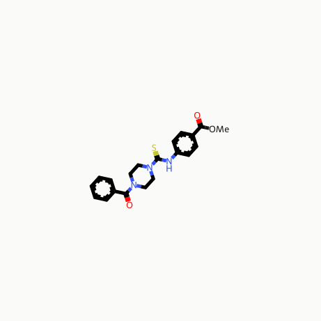 COC(=O)c1ccc(NC(=S)N2CCN(C(=O)c3ccccc3)CC2)cc1